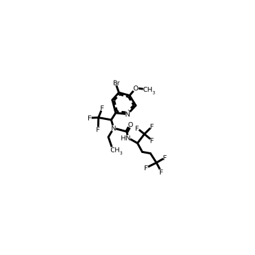 CCN(C(=O)NC(CCC(F)(F)F)C(F)(F)F)C(c1cc(Br)c(OC)cn1)C(F)(F)F